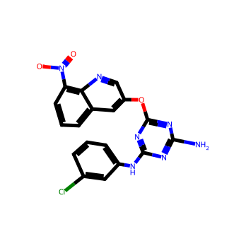 Nc1nc(Nc2cccc(Cl)c2)nc(Oc2cnc3c([N+](=O)[O-])cccc3c2)n1